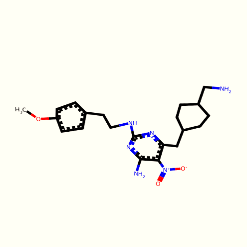 COc1ccc(CCNc2nc(N)c([N+](=O)[O-])c(CC3CCC(CN)CC3)n2)cc1